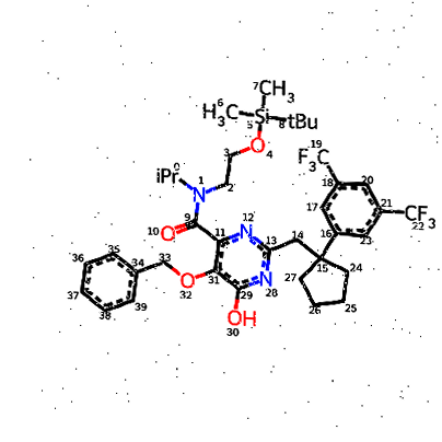 CC(C)N(CCO[Si](C)(C)C(C)(C)C)C(=O)c1nc(CC2(c3cc(C(F)(F)F)cc(C(F)(F)F)c3)CCCC2)nc(O)c1OCc1ccccc1